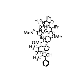 CC[C@H](C)[C@@H]([C@@H](CC(=O)N1CCC[C@H]1[C@H](OC)[C@@H](C)C(=O)N[C@H](C)[C@@H](O)c1ccccc1)OC)N(C)C(=O)[C@@H](NC(=O)[C@H](C(C)C)N(C)C(=O)O[C@H]1CCC[C@@H]1SSC)C(C)C